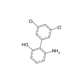 Nc1cccc(O)c1-c1cc(Cl)cc(Cl)c1